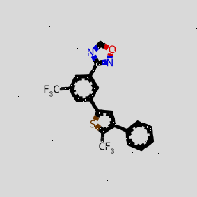 FC(F)(F)c1cc(-c2ncon2)cc(-c2cc(-c3ccccc3)c(C(F)(F)F)s2)c1